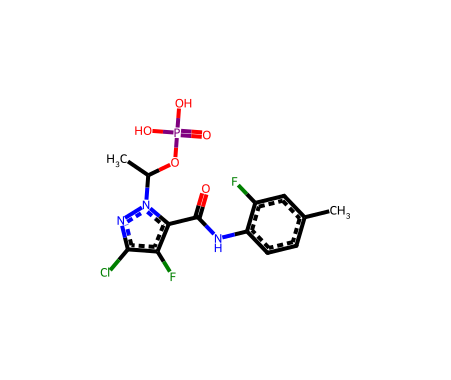 Cc1ccc(NC(=O)c2c(F)c(Cl)nn2C(C)OP(=O)(O)O)c(F)c1